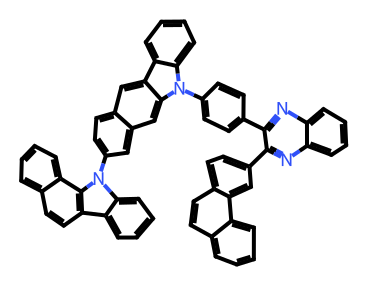 c1ccc2c(c1)ccc1ccc(-c3nc4ccccc4nc3-c3ccc(-n4c5ccccc5c5cc6ccc(-n7c8ccccc8c8ccc9ccccc9c87)cc6cc54)cc3)cc12